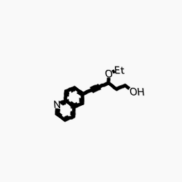 CCOC(C#Cc1ccc2ncccc2c1)CCO